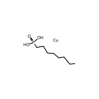 CCCCCCCCP(=O)(O)O.[Cu]